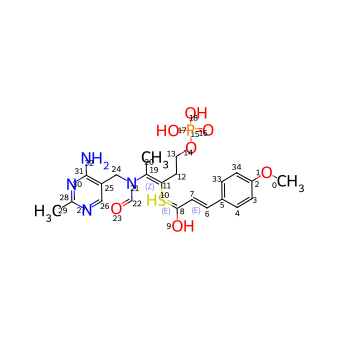 COc1ccc(/C=C/C(O)=[SH]\C(CCOP(=O)(O)O)=C(\C)N(C=O)Cc2cnc(C)nc2N)cc1